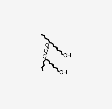 CCCCC(CCC=CCCO)OCOCOC(CCC=CCCO)CCCC